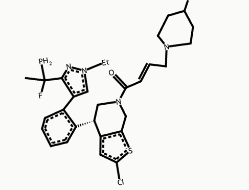 CCn1cc(-c2ccccc2[C@@H]2CN(C(=O)/C=C/CN3CCC(OC)CC3)Cc3sc(Cl)cc32)c(C(C)(F)P)n1